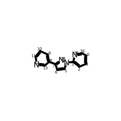 c1ccc(-n2ccc(-c3cccnc3)n2)nc1